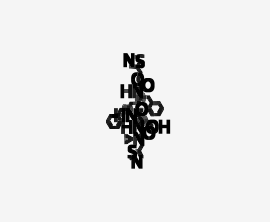 O=C(N[C@H](CC[C@H](Cc1ccccc1)NC(=O)[C@H](CO)NC(=O)N(Cc1cncs1)C1CC1)Cc1ccccc1)OCc1cncs1